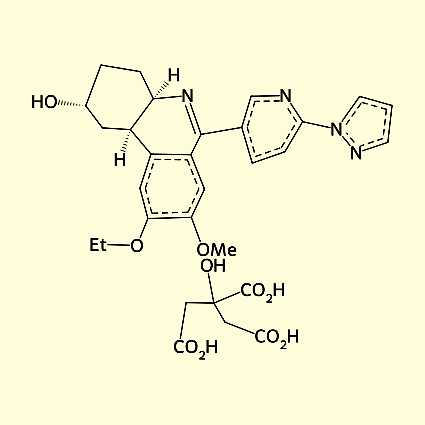 CCOc1cc2c(cc1OC)C(c1ccc(-n3cccn3)nc1)=N[C@@H]1CC[C@@H](O)C[C@H]21.O=C(O)CC(O)(CC(=O)O)C(=O)O